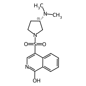 CN(C)[C@H]1CCN(S(=O)(=O)c2cnc(O)c3ccccc23)C1